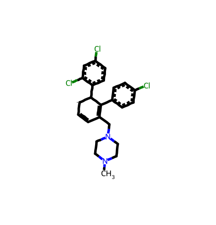 CN1CCN(CC2=C(c3ccc(Cl)cc3)C(c3ccc(Cl)cc3Cl)[CH]C=C2)CC1